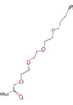 CC(C)CCCOCCOCCOCCOCC(=O)C(C)(C)C